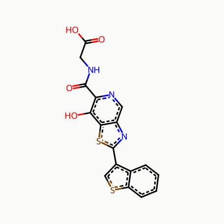 O=C(O)CNC(=O)c1ncc2nc(-c3csc4ccccc34)sc2c1O